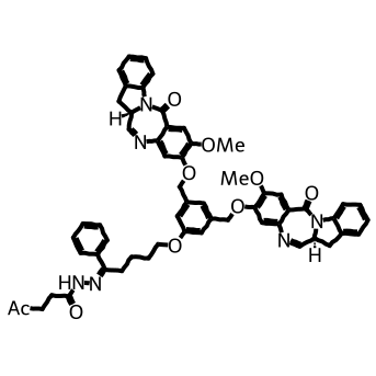 COc1cc2c(cc1OCc1cc(COc3cc4c(cc3OC)C(=O)N3c5ccccc5C[C@H]3C=N4)cc(OCCCC/C(=N/NC(=O)CCC(C)=O)c3ccccc3)c1)N=C[C@@H]1Cc3ccccc3N1C2=O